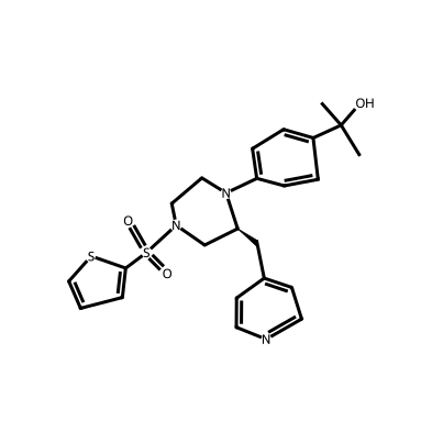 CC(C)(O)c1ccc(N2CCN(S(=O)(=O)c3cccs3)C[C@@H]2Cc2ccncc2)cc1